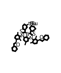 Cc1cc2c3c(c1)N(c1c(C)ccc(-c4cc5ccccc5o4)c1C)c1sc4ccc(C(C)(C)C)cc4c1B3c1c(sc3ccc(C(C)(C)C)cc13)N2c1c(C)ccc(-c2cc3ccccc3o2)c1C